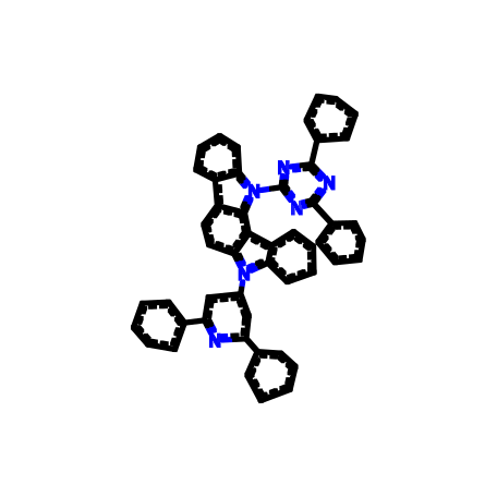 c1ccc(-c2cc(-n3c4ccccc4c4c3ccc3c5ccccc5n(-c5nc(-c6ccccc6)nc(-c6ccccc6)n5)c34)cc(-c3ccccc3)n2)cc1